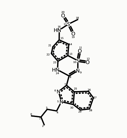 CC(C)CCn1nc(C2=NS(=O)(=O)c3cc(NS(C)(=O)=O)ccc3N2)c2ccccc21